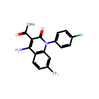 COC(=O)c1c(N)c2ccc(C(F)(F)F)cc2n(-c2ccc(Br)cc2)c1=O